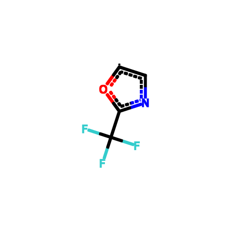 FC(F)(F)c1nc[c]o1